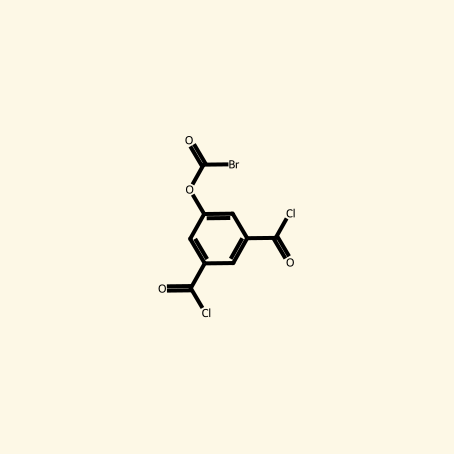 O=C(Br)Oc1cc(C(=O)Cl)cc(C(=O)Cl)c1